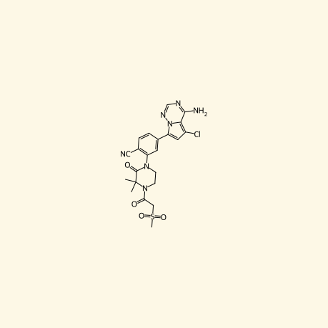 CC1(C)C(=O)N(c2cc(-c3cc(Cl)c4c(N)ncnn34)ccc2C#N)CCN1C(=O)CS(C)(=O)=O